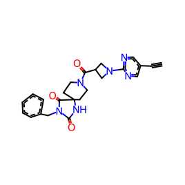 C#Cc1cnc(N2CC(C(=O)N3CCC4(CC3)NC(=O)N(Cc3ccccc3)C4=O)C2)nc1